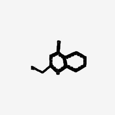 O=c1cc(CBr)oc2ccccc12